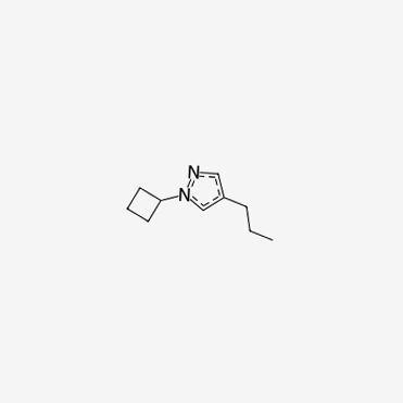 CCCc1cnn(C2CCC2)c1